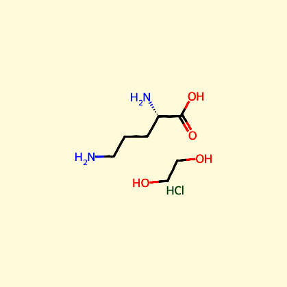 Cl.NCCC[C@H](N)C(=O)O.OCCO